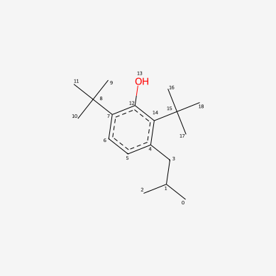 CC(C)Cc1ccc(C(C)(C)C)c(O)c1C(C)(C)C